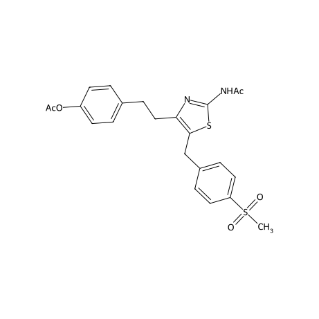 CC(=O)Nc1nc(CCc2ccc(OC(C)=O)cc2)c(Cc2ccc(S(C)(=O)=O)cc2)s1